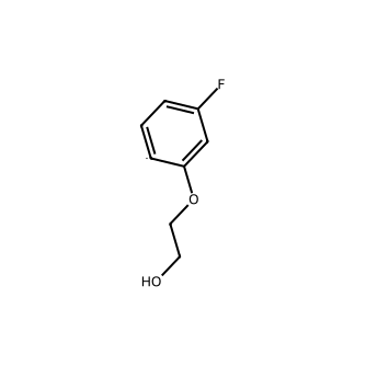 OCCOc1[c]ccc(F)c1